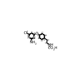 Nc1nc(Cl)cc(Oc2ccc(CCNC(=O)O)cc2)n1